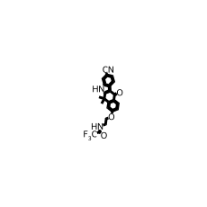 CC1(C)c2cc(OCCNC(=O)C(F)(F)F)ccc2C(=O)c2c1[nH]c1cc(C#N)ccc21